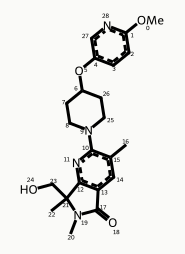 COc1ccc(OC2CCN(c3nc4c(cc3C)C(=O)N(C)C4(C)CO)CC2)cn1